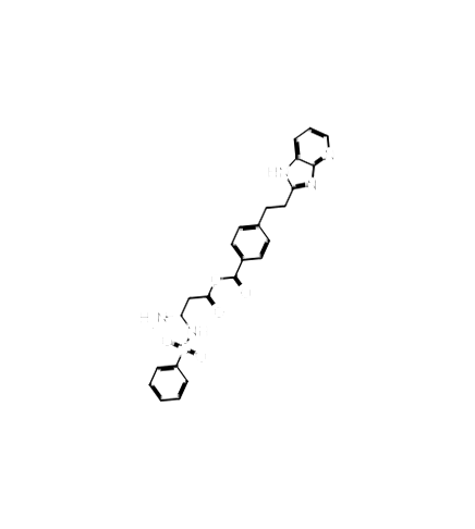 N[C@H](CC(=O)OC(=O)c1ccc(CCc2nc3ncccc3[nH]2)cc1)NS(=O)(=O)c1ccccc1